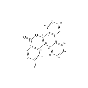 Cc1ccc2c(=O)oc(-c3ccccc3)c(-c3ccccc3)c2c1